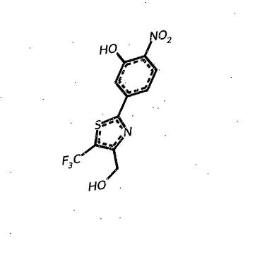 O=[N+]([O-])c1ccc(-c2nc(CO)c(C(F)(F)F)s2)cc1O